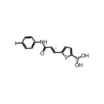 O=C(/C=C/c1ccc(N(O)O)s1)Nc1ccc(I)cc1